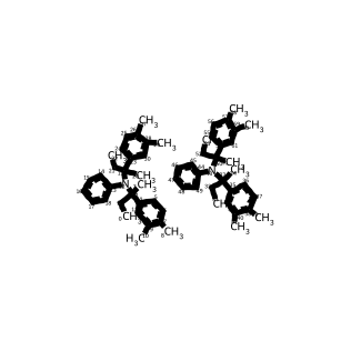 CCC(C)(c1ccc(C)c(C)c1)N(c1ccccc1)C(C)(CC)c1ccc(C)c(C)c1.CCC(C)(c1ccc(C)c(C)c1)N(c1ccccc1)C(C)(CC)c1ccc(C)c(C)c1